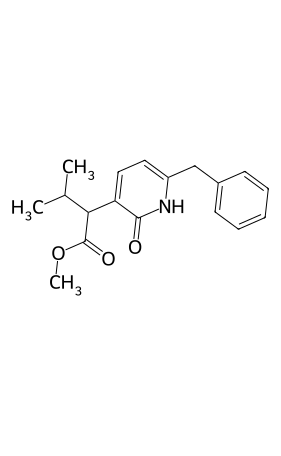 COC(=O)C(c1ccc(Cc2ccccc2)[nH]c1=O)C(C)C